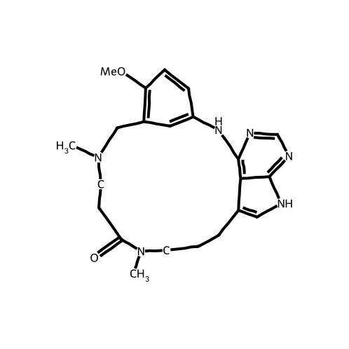 COc1ccc2cc1CN(C)CCC(=O)N(C)CCCc1c[nH]c3ncnc(c13)N2